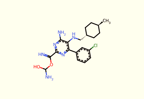 C[C@H]1CC[C@H](CNc2c(N)nc(C(=N)OC(N)O)nc2-c2cccc(Cl)c2)CC1